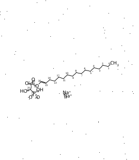 CCCCCCCCCCCCCCCC=COP(=O)([O-])C(O)P(=O)([O-])O.[Na+].[Na+]